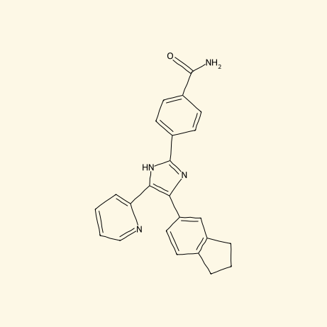 NC(=O)c1ccc(-c2nc(-c3ccc4c(c3)CCC4)c(-c3ccccn3)[nH]2)cc1